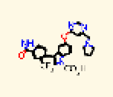 NC(=O)c1ccc(-c2cn(C(=O)O)c3ccc(Oc4cc(CN5CCCC5)ncn4)cc23)c(C(F)(F)F)c1